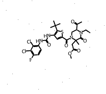 CCN1C(=O)C(C)(CC(=O)OC)N(C(=O)c2cc(NC(=O)Nc3ccc(F)c(Cl)c3Cl)c(C(C)(C)C)s2)CC1C(C)=O